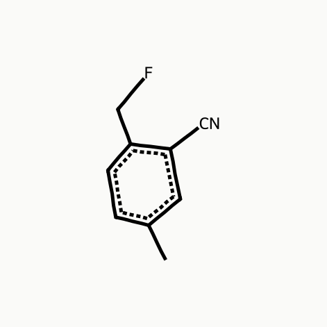 Cc1ccc(CF)c(C#N)c1